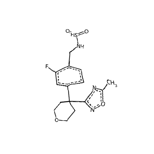 Cc1nc(C2(c3ccc(CN[SH](=O)=O)c(F)c3)CCOCC2)no1